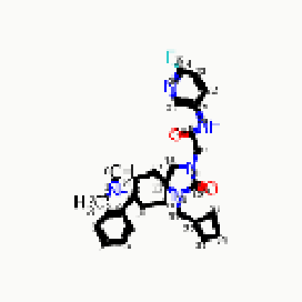 CN(C)[C@]1(c2ccccc2)CC[C@@]2(CC1)CN(CC(=O)Nc1ccc(F)nc1)C(=O)N2CC1CCC1